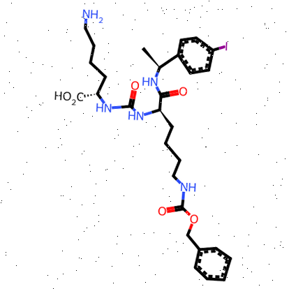 C[C@H](NC(=O)[C@@H](CCCCNC(=O)OCc1ccccc1)NC(=O)N[C@@H](CCCCN)C(=O)O)c1ccc(I)cc1